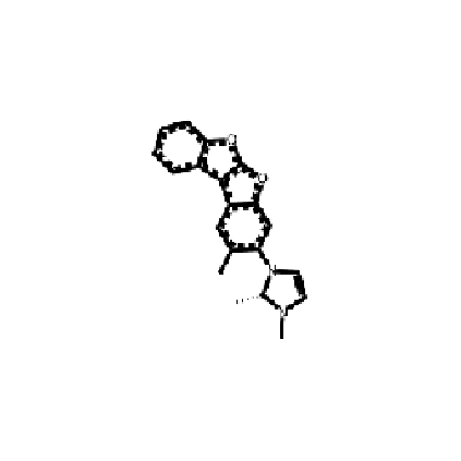 Cc1cc2c(cc1N1C=CN(C)[C@@H]1C)oc1oc3ccccc3c12